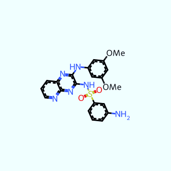 COc1cc(Nc2nc3cccnc3nc2NS(=O)(=O)c2cccc(N)c2)cc(OC)c1